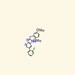 COc1ccc(OC)c(Cc2nc3ncc(-c4ccccc4F)cc3[nH]2)c1